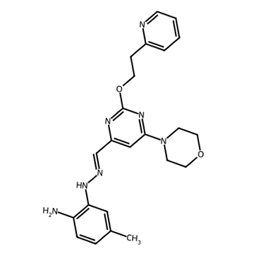 Cc1ccc(N)c(NN=Cc2cc(N3CCOCC3)nc(OCCc3ccccn3)n2)c1